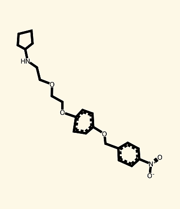 O=[N+]([O-])c1ccc(COc2ccc(OCCOCCNC3CCCC3)cc2)cc1